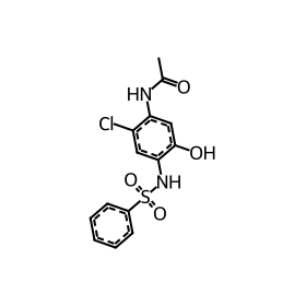 CC(=O)Nc1cc(O)c(NS(=O)(=O)c2ccccc2)cc1Cl